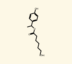 CCCCCCCCCCCCCCCC(=O)OC(C)c1ccc(O)cc1